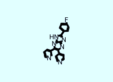 Fc1ccc(-c2nc3nc(-c4ccncc4)c(-c4cccnc4)nc3[nH]2)cc1